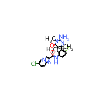 CN1C(=O)C(C)(C)[C@@](C)(c2cc(NC(=O)c3cn4cc(Cl)ccc4n3)ccc2F)N=C1N